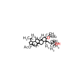 C=C(C)C1CC[C@]2(COC(C)=O)CCC3C(CCC4[C@@]3(C)CCC3[C@]4(C)CC[C@H](O[Si](C)(C)C(C)(C)C)[C@@]3(C)CCC(C)(C)[Si](C)(C)O)C12